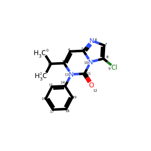 CC(C)c1cc2ncc(Cl)n2c(=O)n1-c1ccccc1